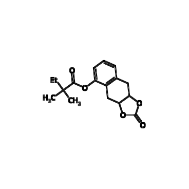 CCC(C)(C)C(=O)Oc1cccc2c1CC1OC(=O)OC1C2